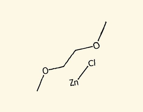 COCCOC.[Cl][Zn]